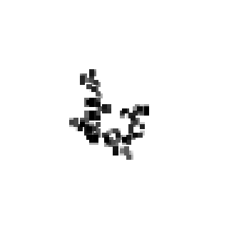 Cc1nc(-c2nnn(C)c2CNC(=O)NCC2CC(F)(F)C2)ccc1O[C@H]1CCC[C@H](C(=O)O)C1